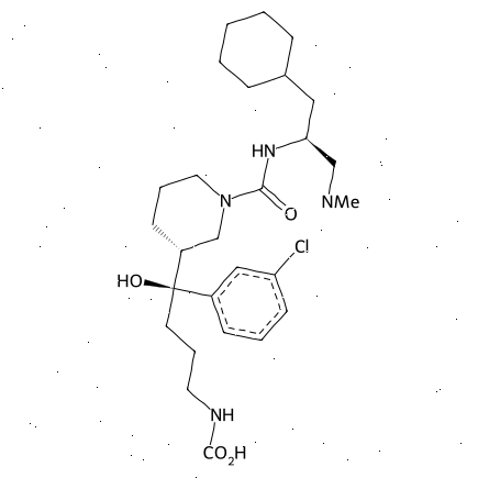 CNC[C@H](CC1CCCCC1)NC(=O)N1CCC[C@@H]([C@@](O)(CCCNC(=O)O)c2cccc(Cl)c2)C1